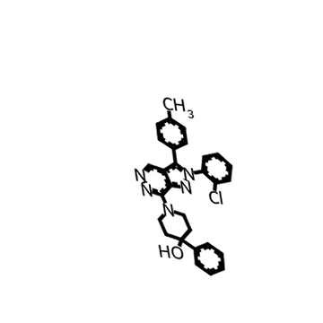 Cc1ccc(-c2c3cnnc(N4CCC(O)(c5ccccc5)CC4)c3nn2-c2ccccc2Cl)cc1